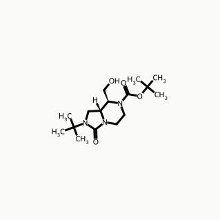 CC(C)(C)OC(=O)N1CCN2C(=O)N(C(C)(C)C)C[C@@H]2[C@H]1CO